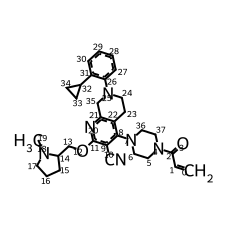 C=CC(=O)N1CCN(c2c(C#N)c(OCC3CCCN3C)nc3c2CCN(c2ccccc2C2CC2)C3)CC1